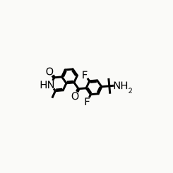 Cc1cc2c(C(=O)c3c(F)cc(C(C)(C)N)cc3F)cccc2c(=O)[nH]1